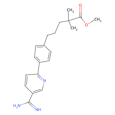 COC(=O)C(C)(C)CCCc1ccc(-c2ccc(C(=N)N)cn2)cc1